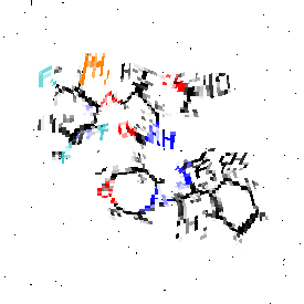 C=C(COC(=C(\P)CF)/C(F)=C(/F)C(C)C)[C@H](CC(=O)N=O)NC(=O)[C@H]1COCCN(C(=C)/C(=N/C)C2=CC=CCC2C)C1